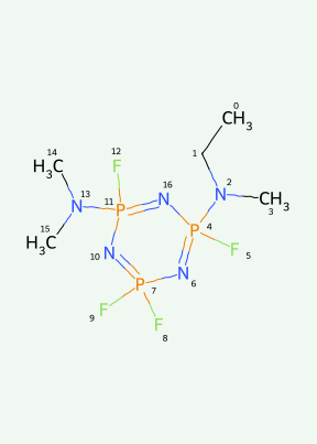 CCN(C)P1(F)=NP(F)(F)=NP(F)(N(C)C)=N1